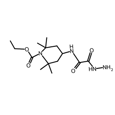 CCOC(=O)N1C(C)(C)CC(NC(=O)C(=O)NN)CC1(C)C